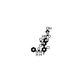 CCn1c(=O)c(-c2cc(NC(=O)Nc3ccccc3)c(F)cc2Cl)cc2cnc(NC(=O)N3CC(O)C3)cc21